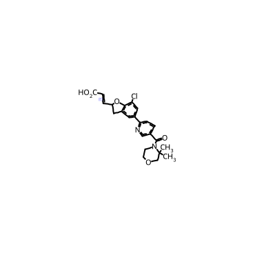 CC1(C)COCCN1C(=O)c1ccc(-c2cc(Cl)c3c(c2)CC(/C=C/C(=O)O)O3)nc1